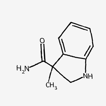 CC1(C(N)=O)CNc2ccccc21